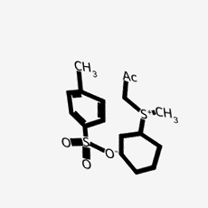 CC(=O)C[S+](C)C1CCCCC1.Cc1ccc(S(=O)(=O)[O-])cc1